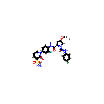 CO[C@@H]1C[C@H](C(=O)Nc2ccc(-n3cccc(S(N)(=O)=O)c3=O)cc2F)N(C(=O)Nc2ccc(Cl)cc2)C1